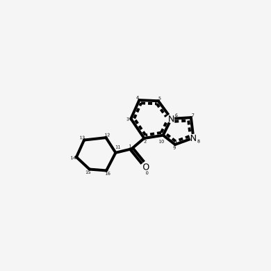 O=C(c1cccn2cncc12)C1CCCCC1